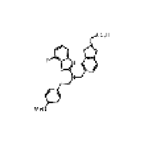 COc1ccc(CCN(Cc2ccc3c(c2)CN(CC(=O)O)C3)c2nc3cccc(F)c3s2)cc1